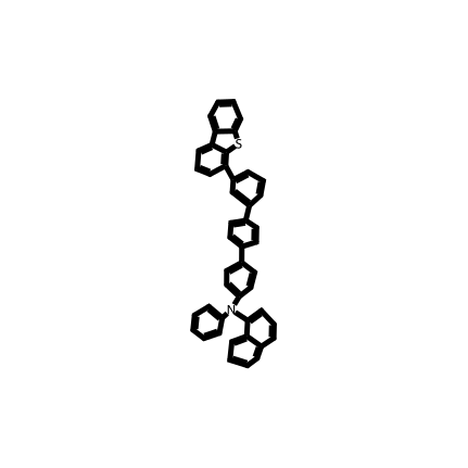 c1ccc(N(c2ccc(-c3ccc(-c4cccc(-c5cccc6c5sc5ccccc56)c4)cc3)cc2)c2cccc3ccccc23)cc1